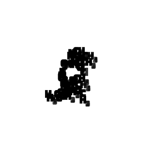 Cc1ccc(C2=N[C@@](C)(CC(=O)OC(C)(C)C)c3nnc(CC4CN(CCC(=O)NC[C@@H]5N=C(c6ccc(Cl)cc6)c6c(sc(C)c6C)-n6c(C)nnc65)CCO4)n3-c3sc(C)c(C)c32)cc1